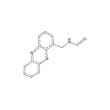 O=[C]NCc1cccc2nc3ccccc3nc12